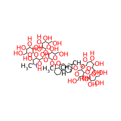 C=C1C[C@@]23CCC4[C@](C)(C(=O)OC5OC(CO)C(O)C(OC6OC(CO)C(O)C(O)C6O)C5OC(O)C(O)C(OC5OC(CO)C(O)C(O)C5O)C(O)C(C)I)CCC[C@@]4(C)[C@@H]2CC[C@]1(OC1OC(CO)C(O)C(OC2OC(CO)C(O)C(O)C2O)C1OC1OC(CO)C(O)C(O)C1O)C3